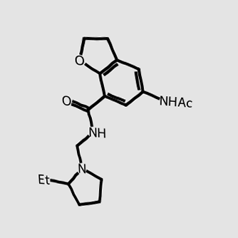 CCC1CCCN1CNC(=O)c1cc(NC(C)=O)cc2c1OCC2